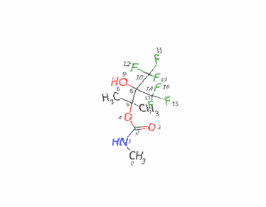 CNC(=O)OC(C)(C)C(O)(C(F)(F)F)C(F)(F)F